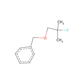 CC(C)(F)COCc1ccccc1